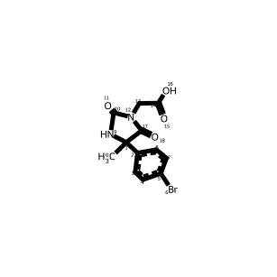 CC1(c2ccc(Br)cc2)NC(=O)N(CC(=O)O)C1=O